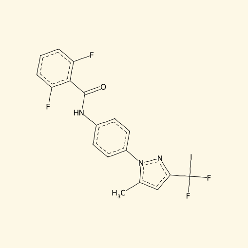 Cc1cc(C(F)(F)I)nn1-c1ccc(NC(=O)c2c(F)cccc2F)cc1